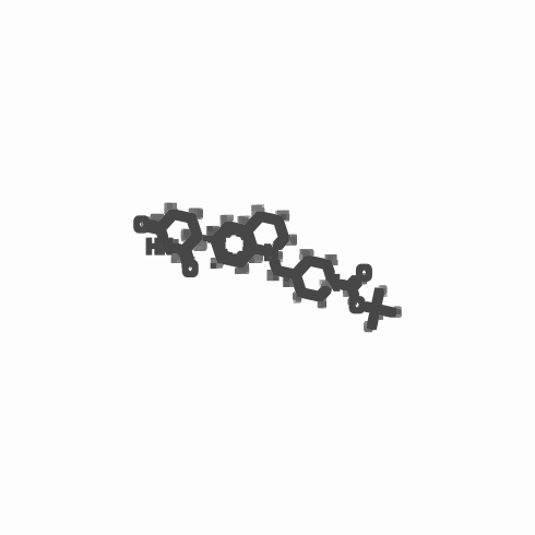 CC(C)(C)OC(=O)N1CCC(CN2CCCc3cc([C@H]4CCC(=O)NC4=O)ccc32)CC1